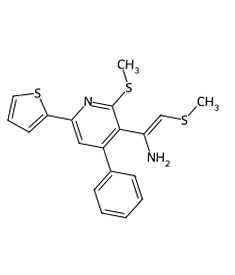 CS/C=C(\N)c1c(-c2ccccc2)cc(-c2cccs2)nc1SC